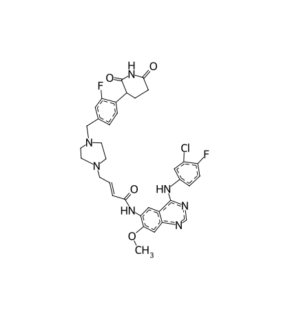 COc1cc2ncnc(Nc3ccc(F)c(Cl)c3)c2cc1NC(=O)/C=C/CN1CCN(Cc2ccc(C3CCC(=O)NC3=O)c(F)c2)CC1